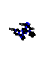 CCC1c2nnc(C)n2-c2cnc(-n3ccnc3N3CCN(C)CC3)nc2N1C1CCCC1